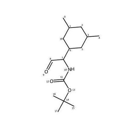 CC1CC(C)CC(C(C=O)NC(=O)OC(C)(C)C)C1